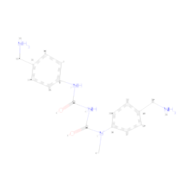 CN(C(=O)NC(=O)Nc1ccc(CN)cc1)c1ccc(CN)cc1